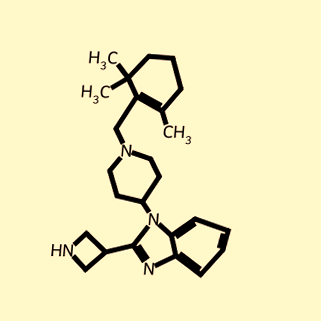 CC1=C(CN2CCC(n3c(C4CNC4)nc4ccccc43)CC2)C(C)(C)CCC1